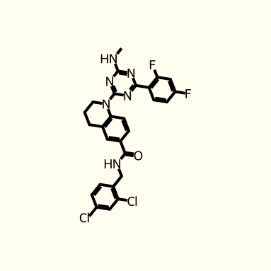 CNc1nc(-c2ccc(F)cc2F)nc(N2CCCc3cc(C(=O)NCc4ccc(Cl)cc4Cl)ccc32)n1